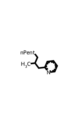 CCCCCCC(C)Cc1ccccn1